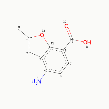 CC1Cc2c(N)ccc(C(=O)O)c2O1